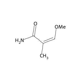 COC=C(C)C(N)=O